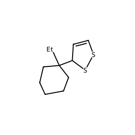 CCC1(C2C=CSS2)CCCCC1